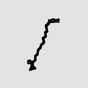 CCCCCCCCC=CCCCCCCCCCCCC(=O)N1CC1